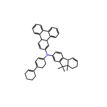 CC1(C)c2cc(N(C3=CC4c5ccccc5-c5ccccc5C4C=C3)C3=CC=C(C4=CCCCC4)CC3)ccc2C2C=CCCC21C